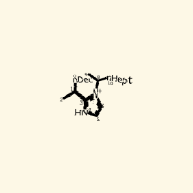 CCCCCCCCCCC(C)c1[nH]cc[n+]1C(C)CCCCCCC